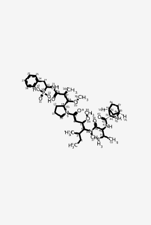 CCC(C)C(C(CC(=O)N1CCC[C@H]1C(OC)C(C)C(=O)NC(Cc1ccccc1)P(=O)(O)O)OC)N(C)C(=O)C(NC(=O)[C@H]1N[C@@H]2CC[C@H]1C2)C(C)C